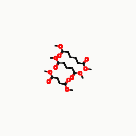 COC(=O)CCC(=O)OC.COC(=O)CCCC(=O)OC.COC(=O)CCCCC(=O)OC